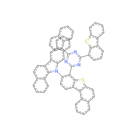 c1ccc2cc3c(cc2c1)c1ccc2ccccc2c1n3-c1ccc2c(sc3ccc4ccccc4c32)c1-c1nc(-c2cccc3ccccc23)nc(-c2cccc3c2sc2ccccc23)n1